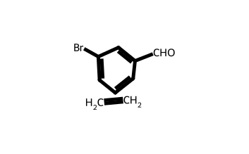 C=C.O=Cc1cccc(Br)c1